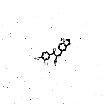 N#C/C(=C/c1ccc2[nH]ccc2c1)C(=O)c1ccc(O)c(O)c1